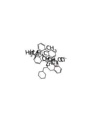 CC1=CC=CC2[CH](/[Zr+2]([C]3=CC=CC3)=[C](/Cc3ccccc3)CC3CCCCC3)C3(C)C4(C)C=CC=CC4(C)C4(C)C=CC=CC4(C)C3(C)C12C.[Cl-].[Cl-]